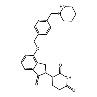 O=C1CCC(N2Cc3c(OCc4ccc(CN5CCCCN5)cc4)cccc3C2=O)C(=O)N1